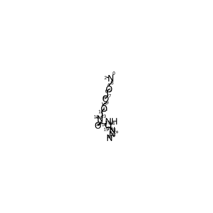 CN(C)CCOCCOCCOCCN(C)C(=O)[C@@H]1CC(N=[N+]=[N-])CN1